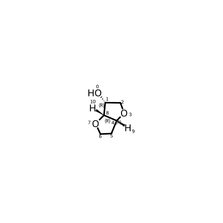 O[C@@H]1CO[C@@H]2CCO[C@H]12